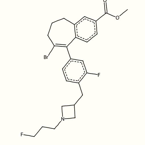 COC(=O)c1ccc2c(c1)CCCC(Br)=C2c1ccc(CC2CN(CCCF)C2)c(F)c1